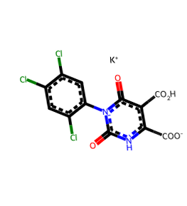 O=C([O-])c1[nH]c(=O)n(-c2cc(Cl)c(Cl)cc2Cl)c(=O)c1C(=O)O.[K+]